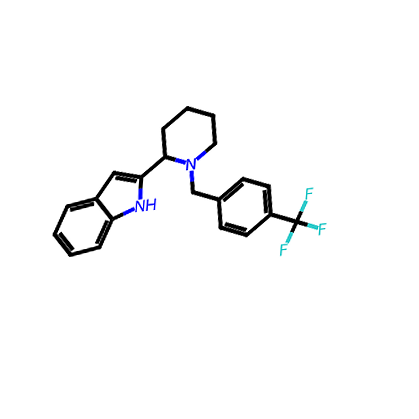 FC(F)(F)c1ccc(CN2CCCCC2c2cc3ccccc3[nH]2)cc1